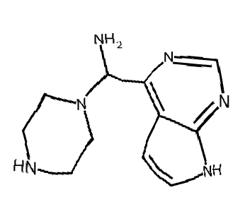 NC(c1ncnc2[nH]ccc12)N1CCNCC1